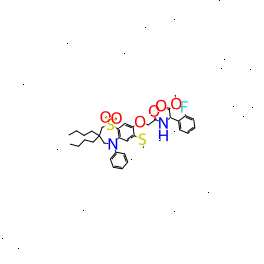 CCCCC1(CCCC)CN(c2ccccc2)c2cc(SC)c(OCC(=O)NC(C(=O)OC)c3ccccc3F)cc2S(=O)(=O)C1